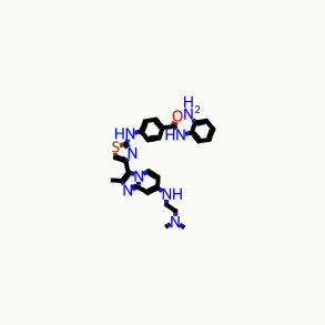 Cc1nc2cc(NCCN(C)C)ccn2c1-c1csc(Nc2ccc(C(=O)Nc3ccccc3N)cc2)n1